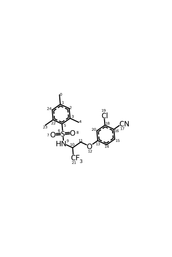 Cc1cc(C)c(S(=O)(=O)NC(COc2ccc(C#N)c(Cl)c2)C(F)(F)F)c(C)c1